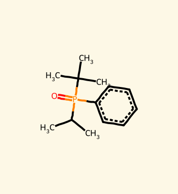 CC(C)P(=O)(c1ccccc1)C(C)(C)C